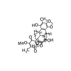 COC1=C(C)C(=O)C2=C(C1=O)C1C3[C@@H]4SCC(=O)C(=O)OC[C@@H](c5c6c(c(C)c(O)c54)OCO6)N3[C@@H](O)C(C2)N1C